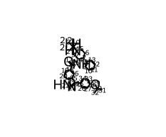 [2H]C([2H])([2H])N1CC[C@@H](c2ccccc2)[C@H](NC(=O)c2ccc3[nH]nc(-c4ccc(OC(C)C)cc4)c3c2)C1